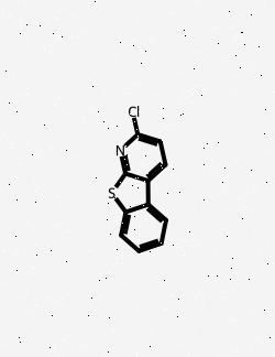 Clc1ccc2c(n1)sc1ccccc12